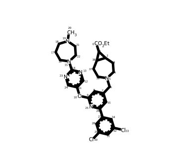 CCOC(=O)C1C2CCN(Cc3cc(Oc4cnc(N5CCCN(C)CC5)nc4)nc(-c4cc(Cl)cc(Cl)c4)c3)CCC21